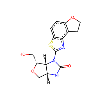 O=C1N[C@@H]2CO[C@H](CO)[C@@H]2N1c1nc2c3c(ccc2s1)OCC3